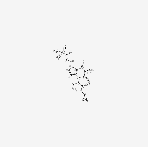 CCOC(=O)C(CC)n1c(=O)n(C)c(=O)c2c1ncn2COC(=O)C(C)(C)C